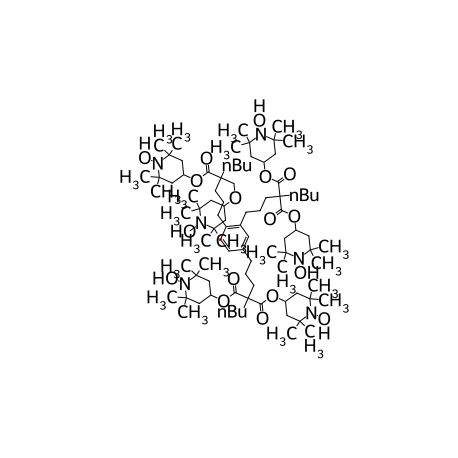 CCCCC(CCCc1ccc(CCCC(CCCC)(C(=O)OC2CC(C)(C)N(O)C(C)(C)C2)C(=O)OC2CC(C)(C)N(O)C(C)(C)C2)cc1CCCC(CCCC)(C(=O)OC1CC(C)(C)N(O)C(C)(C)C1)C(=O)OC1CC(C)(C)N(O)C(C)(C)C1)(COC1CC(C)(C)N(O)C(C)(C)C1)C(=O)OC1CC(C)(C)N(O)C(C)(C)C1